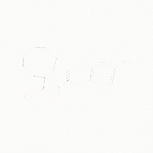 Cc1ccc(CC(=O)NC2(C(=O)O)CCCCCCC2)c(Cl)c1